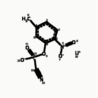 Cc1ccc([N+](=O)[O-])c(OP(=O)([O-])C#N)c1.[Li+]